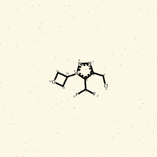 FC(F)c1c(CCl)nnn1C1COC1